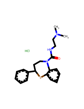 CN(C)CCNC(=O)N1CCC(c2ccccc2)Sc2ccccc21.Cl